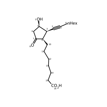 CCCCCCC#C[C@@H]1[C@H](O)CC(=O)[C@@H]1CCCCCCC(=O)O